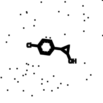 OC1CC1c1ccc(Cl)cc1